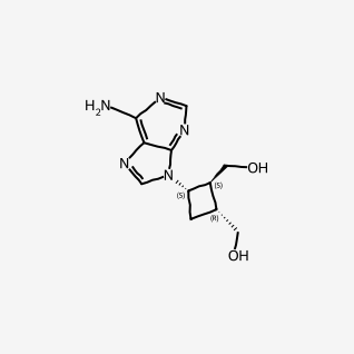 Nc1ncnc2c1ncn2[C@H]1C[C@@H](CO)[C@@H]1CO